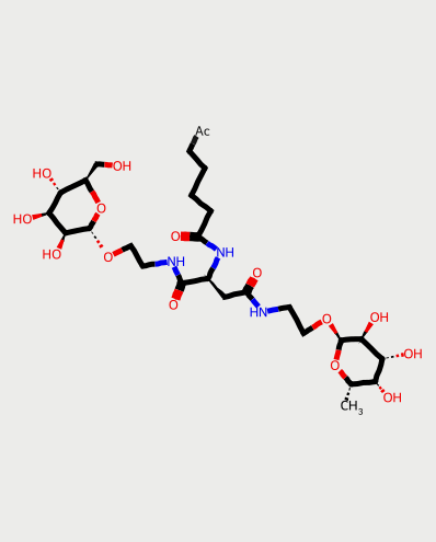 CC(=O)CCCCC(=O)N[C@@H](CC(=O)NCCO[C@@H]1O[C@@H](C)[C@@H](O)[C@@H](O)[C@@H]1O)C(=O)NCCO[C@H]1O[C@H](CO)[C@@H](O)[C@H](O)[C@@H]1O